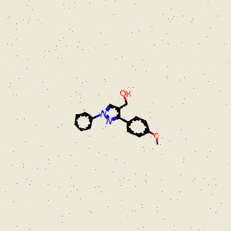 COc1ccc(-c2nn(-c3ccccc3)cc2CO)cc1